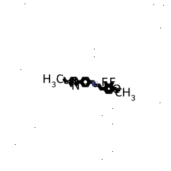 CCCc1ccc(C2CCC(/C=C/CCc3ccc(OC)c(F)c3F)CC2)nc1